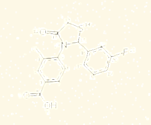 Cc1cc(C(=O)O)ccc1N1C(=O)CSC1c1cccc(F)c1